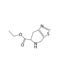 CCOC(=O)C1Cc2n[c]sc2CN1